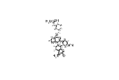 C[C@H](O)CN1CCCC(COc2nc(-c3ccc(C#N)cc3)c(-c3ccc4c(c3)oc(=O)n4C)c3nccn23)C1